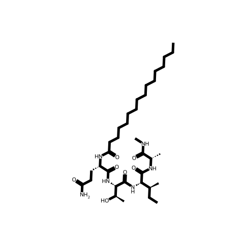 CCCCCCCCCCCCCCCC(=O)N[C@@H](CCC(N)=O)C(=O)N[C@H](C(=O)N[C@H](C(=O)N[C@@H](C)C(=O)NC)[C@@H](C)CC)[C@@H](C)O